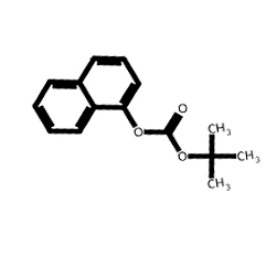 CC(C)(C)OC(=O)Oc1cc[c]c2ccccc12